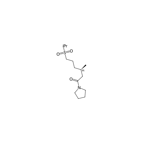 CC(C)S(=O)(=O)CCC[C@@H](C)CC(=O)N1CCCC1